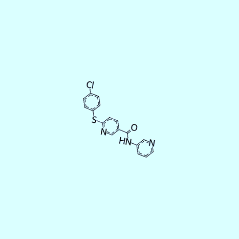 O=C(Nc1cccnc1)c1ccc(Sc2ccc(Cl)cc2)nc1